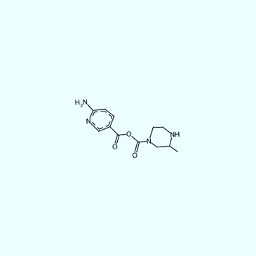 CC1CN(C(=O)OC(=O)c2ccc(N)nc2)CCN1